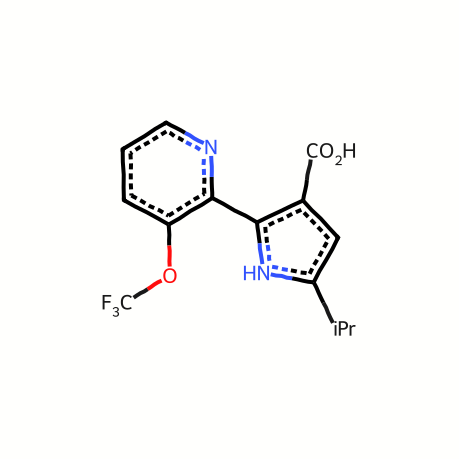 CC(C)c1cc(C(=O)O)c(-c2ncccc2OC(F)(F)F)[nH]1